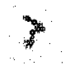 O=C(COc1cccc(-c2nc3c(c(Nc4ccc(-c5cn[nH]c5)cc4)n2)COC3)c1)NC(CF)C(F)F